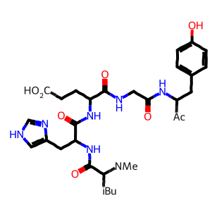 CCC(C)C(NC)C(=O)NC(Cc1c[nH]cn1)C(=O)NC(CCC(=O)O)C(=O)NCC(=O)NC(Cc1ccc(O)cc1)C(C)=O